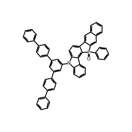 O=P1(c2ccccc2)c2cc3ccccc3cc2-c2ccc3c(c21)c1ccccc1n3-c1cc(-c2ccc(-c3ccccc3)cc2)cc(-c2ccc(-c3ccccc3)cc2)c1